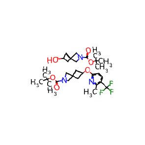 CC(C)(C)OC(=O)N1CC2(CC(O)C2)C1.Cc1nc(OC2CC3(C2)CN(C(=O)OC(C)(C)C)C3)ccc1C(F)(F)F